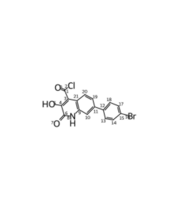 O=C(Cl)c1c(O)c(=O)[nH]c2cc(-c3ccc(Br)cc3)ccc12